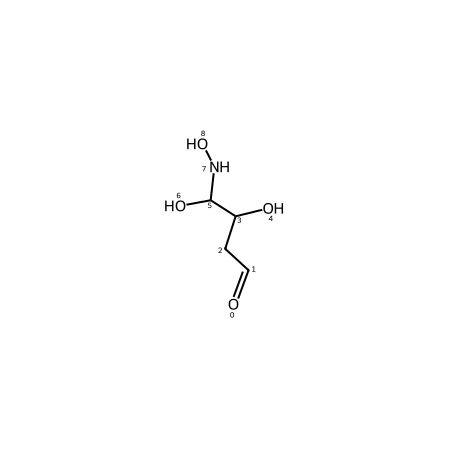 O=CCC(O)C(O)NO